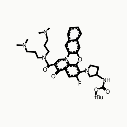 CN(C)CCCN(CCCN(C)C)C(=O)c1cn2c3c(c(N4CCC(NC(=O)OC(C)(C)C)C4)c(F)cc3c1=O)Oc1cc3ccccc3cc1-2